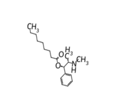 CCCCCCCCC(=O)O[C@H](c1ccccc1)[C@@H](C)NC